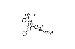 CC(C)c1noc(-c2ccccc2NC(=O)NC(c2ccc(C(=O)NCCC(=O)O)cc2)c2ccc(C3CCCCC3)cc2)n1